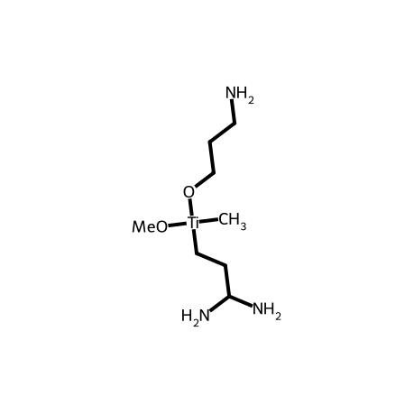 C[O][Ti]([CH3])([CH2]CC(N)N)[O]CCCN